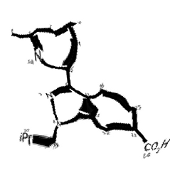 Cc1cccc(-c2nn(CC(C)C)c3cc(C(=O)O)ccc23)n1